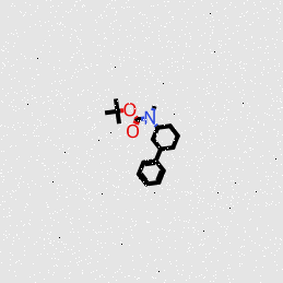 CN(C(=O)OC(C)(C)C)C1CCCC(c2ccccc2)C1